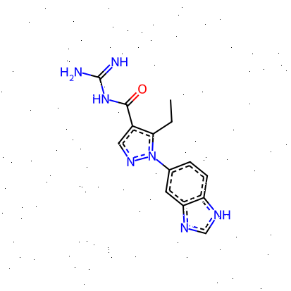 CCc1c(C(=O)NC(=N)N)cnn1-c1ccc2[nH]cnc2c1